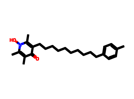 Cc1ccc(CCCCCCCCCCc2c(C)n(O)c(C)c(C)c2=O)cc1